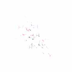 C[C@H]1C[C@H]2[C@@H]3CCC4=CC(=O)C=C[C@]4(C)[C@@]3(F)[C@@H](O)C[C@]2(C)[C@@]1(OC(=O)NC1CCCC1)C(=O)CO